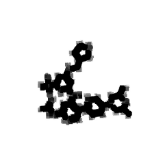 CC(=O)Nc1cc(Nc2cc(OCC3CCOC3)cc(S(C)(=O)=O)n2)c(-c2ccc(N3CC(C)OC(C)C3)cn2)cn1